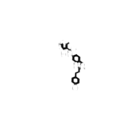 COc1ccc(CCc2ncc3ccc(NC(=O)c4cnoc4C)cc3n2)cc1